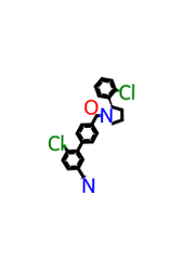 N#Cc1ccc(Cl)c(-c2ccc(C(=O)N3CCC[C@@H]3c3ccccc3Cl)cc2)c1